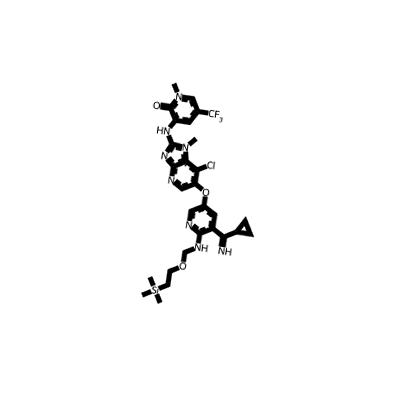 Cn1cc(C(F)(F)F)cc(Nc2nc3ncc(Oc4cnc(NCOCC[Si](C)(C)C)c(C(=N)C5CC5)c4)c(Cl)c3n2C)c1=O